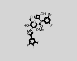 CO[C@@H]1[C@@H](n2cc(-c3cc(F)c(F)c(F)c3)nn2)[C@@H](O)[C@@H](CO)O[C@H]1C(=O)N(c1cc(Br)cc(Br)c1)[C@H]1CC[C@@H]1O